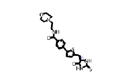 O=C1NC(=S)N/C1=C/c1ccc(-c2ccc(C(=O)NCCN3CCOCC3)cc2)s1